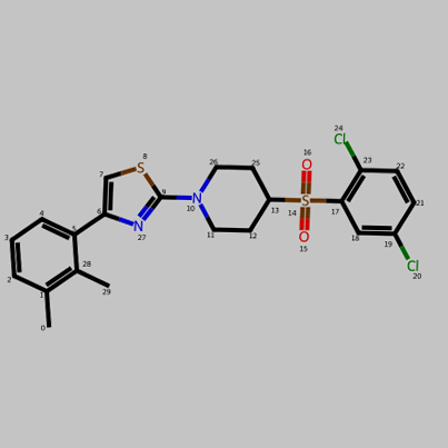 Cc1cccc(-c2csc(N3CCC(S(=O)(=O)c4cc(Cl)ccc4Cl)CC3)n2)c1C